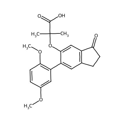 COc1ccc(OC)c(-c2cc3c(cc2OC(C)(C)C(=O)O)C(=O)CC3)c1